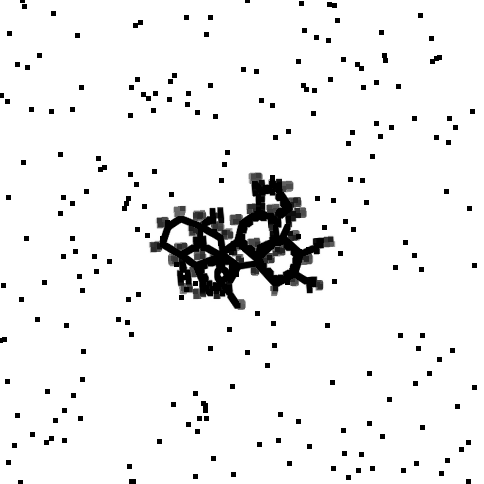 Cn1nc2c(c1-c1cc(F)c(F)c(F)c1)C[C@H]1CCC[C@@H]2N1C(=O)c1ccn2cnnc2c1